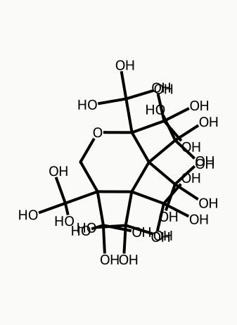 OC(O)(O)C1(C(O)(O)O)COC(C(O)(O)O)(C(O)(O)O)C(C(O)(O)O)(C(O)(O)O)C1(C(O)(O)O)C(O)(O)O